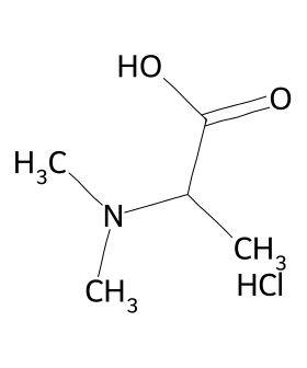 CC(C(=O)O)N(C)C.Cl